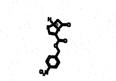 O=C(OCc1ccc([N+](=O)[O-])cc1)C1=CS[C@@H]2CC(=O)N12